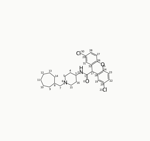 O=C(NC1CCN(CC2CCCCCC2)CC1)C1c2cc(Cl)ccc2Oc2ccc(Cl)cc21